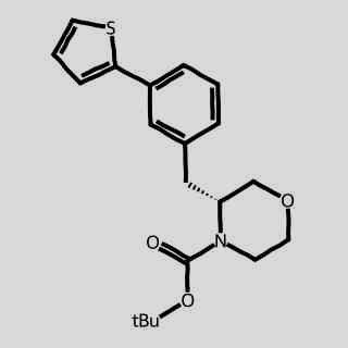 CC(C)(C)OC(=O)N1CCOC[C@H]1Cc1cccc(-c2cccs2)c1